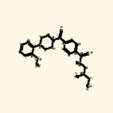 CC(C)Nc1cccnc1N1CCN(C(=O)c2ccc(C(=O)NCC(O)CO)cc2)CC1